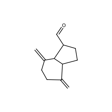 C=C1CCC(=C)C2C(C=O)CCC12